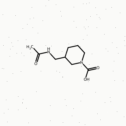 CC(=O)NCC1CCCN(C(=O)O)C1